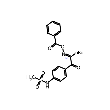 CCCC/C(=N\OC(=O)c1ccccc1)C(=O)c1ccc(NS(C)(=O)=O)cc1